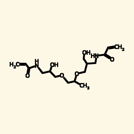 C=CC(=O)NCC(O)COCC(C)OCC(CO)CNC(=O)C=C